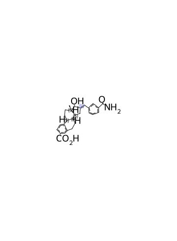 C[C@]12CC[C@@H]3c4ccc(C(=O)O)cc4CC[C@H]3[C@@H]1C/C(=C\c1cccc(C(N)=O)c1)C2O